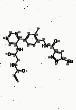 C=CC(=O)NCC(=O)Nc1cncnc1-c1ccc(CNC(=O)c2cn(C(C)(C)C)nn2)c(C)c1